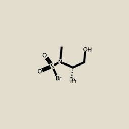 CC(C)[C@@H](CO)N(C)S(=O)(=O)Br